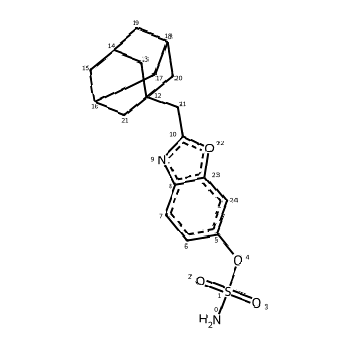 NS(=O)(=O)Oc1ccc2nc(CC34CC5CC(CC(C5)C3)C4)oc2c1